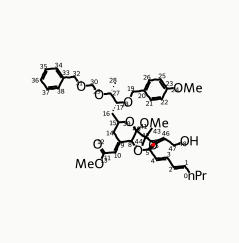 CCCC=CC=CC(=O)OC1C(=CC(=O)OC)CC(C[C@@H](OCc2ccc(OC)cc2)[C@@H](C)OCOCc2ccccc2)OC1(OC)C(C)(C)C=CCO